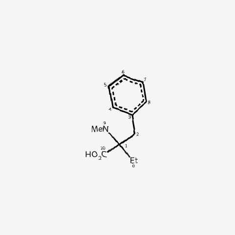 CCC(Cc1ccccc1)(NC)C(=O)O